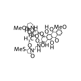 COc1cccc2c1C(=O)c1c(O)c3c(c(O)c1C2=O)C[C@@](O)(C(=O)NCCN1C(=O)CC(SC)C1=O)C[C@@H]3O[C@H]1C[C@H]2[C@H](O[C@@H]3[C@@H](OC)CCCN32)[C@H](C)O1